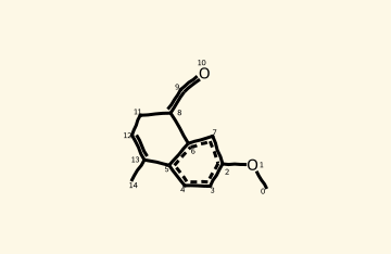 COc1ccc2c(c1)C(=C=O)CC=C2C